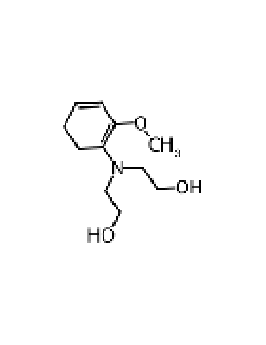 COC1=C(N(CCO)CCO)CCC=C1